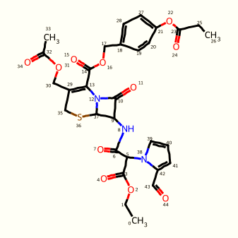 CCOC(=O)C(C(=O)NC1C(=O)N2C(C(=O)OCc3ccc(OC(=O)CC)cc3)=C(COC(C)=O)CSC12)n1cccc1C=O